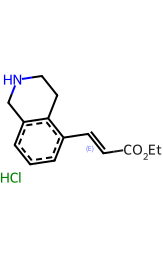 CCOC(=O)/C=C/c1cccc2c1CCNC2.Cl